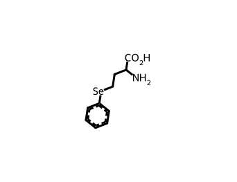 NC(CC[Se]c1ccccc1)C(=O)O